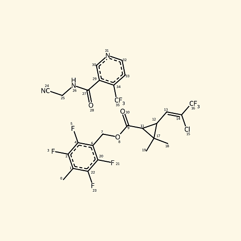 Cc1c(F)c(F)c(COC(=O)C2C(/C=C(\Cl)C(F)(F)F)C2(C)C)c(F)c1F.N#CCNC(=O)c1cnccc1C(F)(F)F